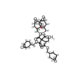 CCC(C(=O)OCC1CCC2OC2C1)C(C(=O)OCC1CCC2OC2C1)(C(=O)OCC1CCC2OC2C1)C(=O)OCC1CCC2OC2C1